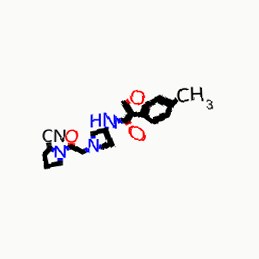 Cc1ccc2c(C(=O)N[C@H]3CCN(CC(=O)N4CCCC4C#N)C3)coc2c1